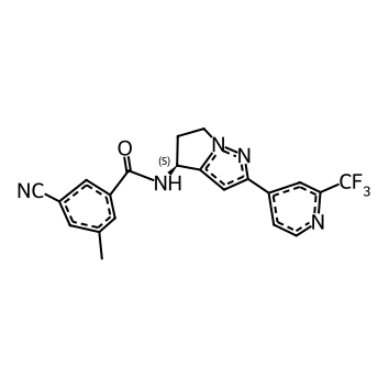 Cc1cc(C#N)cc(C(=O)N[C@H]2CCn3nc(-c4ccnc(C(F)(F)F)c4)cc32)c1